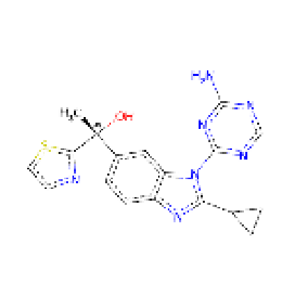 C[C@@](O)(c1ccc2nc(C3CC3)n(-c3ncnc(N)n3)c2c1)c1nccs1